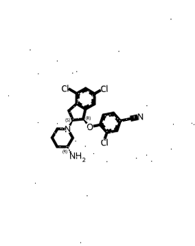 N#Cc1ccc(O[C@@H]2c3cc(Cl)cc(Cl)c3C[C@@H]2N2CCC[C@@H](N)C2)c(Cl)c1